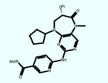 CCC[C@H]1CN(C2CCCC2)c2nc(Nc3ccc(C(=O)NC)cn3)ncc2N(C)C1=O